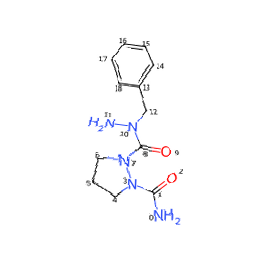 NC(=O)N1CCCN1C(=O)N(N)Cc1ccccc1